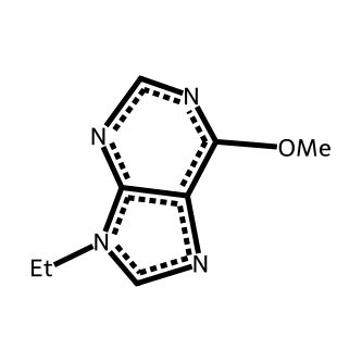 CCn1cnc2c(OC)ncnc21